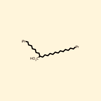 CC(C)CCCCCCCCCCCCCC(CCCCCCCC(C)C)C(=O)O